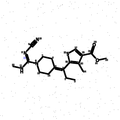 CCC(=C1CCN(/C(=N\C#N)NC)CC1)c1scc(C(=O)OC)c1C